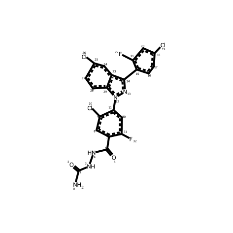 NC(=O)NNC(=O)c1cc(Cl)c(-n2nc(-c3ccc(Cl)cc3F)c3cc(Cl)ccc32)cc1F